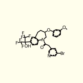 COc1cccc(OC2CCc3cc(C(O)(C(F)(F)F)C(F)(F)F)ccc3N(C(=O)Cc3cncc(Br)c3)C2)c1